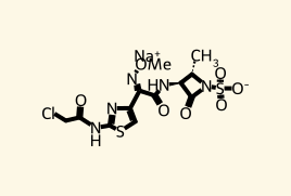 CON=C(C(=O)N[C@@H]1C(=O)N(S(=O)(=O)[O-])[C@H]1C)c1csc(NC(=O)CCl)n1.[Na+]